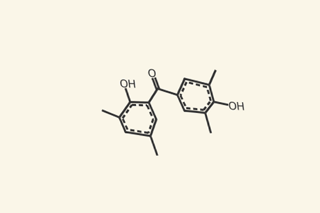 Cc1cc(C)c(O)c(C(=O)c2cc(C)c(O)c(C)c2)c1